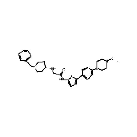 CN1CCN(c2ccc(-c3ccc(NC(=O)CNC4CCN(Cc5ccccc5)CC4)s3)cc2)CC1